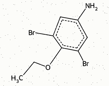 CCOc1c(Br)cc(N)cc1Br